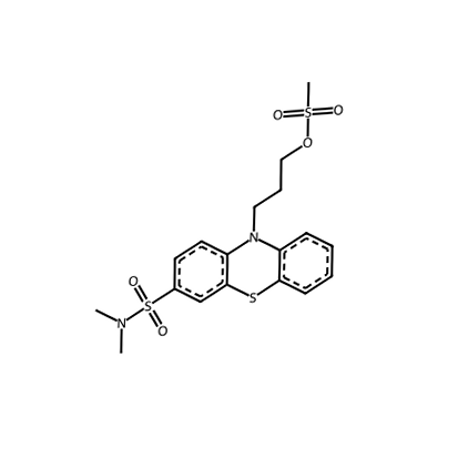 CN(C)S(=O)(=O)c1ccc2c(c1)Sc1ccccc1N2CCCOS(C)(=O)=O